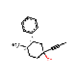 CC#CC1(O)CC[C@@H](C(=O)O)[C@H](c2ccccc2)C1